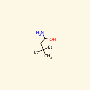 CCC(C)(CC)CC(N)O